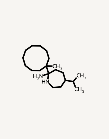 CC(C)C1CCNC(N)(C2(C)CCCCCCCCC2)CC1